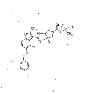 Cc1oc2ccc(OCc3ccccc3)c(F)c2c1C(=O)NC1CN(C(=O)OC(C)(C)C)CC1(F)F